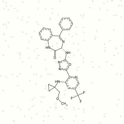 COCC1(Nc2cc(C(F)(F)F)cnc2-c2nnc(N[C@H]3N=C(c4ccccc4)c4ccccc4NC3=O)o2)CC1